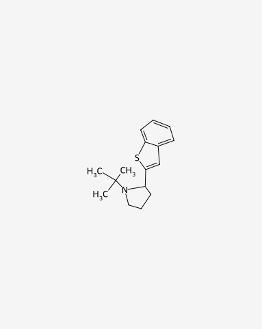 CC(C)(C)N1CCCC1c1cc2ccccc2s1